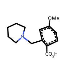 COc1ccc(C(=O)O)c(CN2CCCCC2)c1